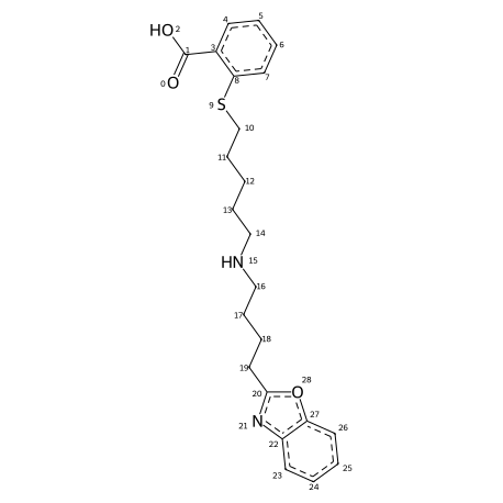 O=C(O)c1ccccc1SCCCCCNCCCCc1nc2ccccc2o1